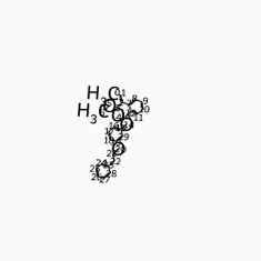 CC=C(C(=O)OC)c1ccccc1COc1cccc(OCCc2ccccc2)c1